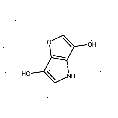 Oc1coc2c(O)c[nH]c12